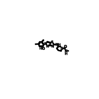 CNC(=O)N1CCCC(Nc2nc3nn(-c4c(C)cc(C)cc4O)cc3s2)C1